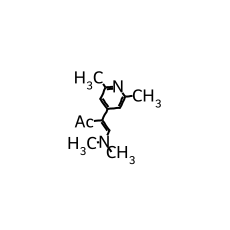 CC(=O)/C(=C\N(C)C)c1cc(C)nc(C)c1